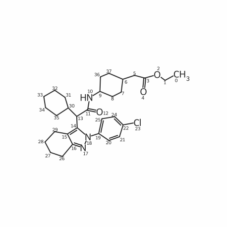 CCOC(=O)CC1CCC(NC(=O)C(c2c3c(nn2-c2ccc(Cl)cc2)CCCC3)C2CCCCC2)CC1